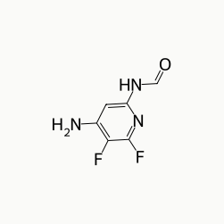 Nc1cc(NC=O)nc(F)c1F